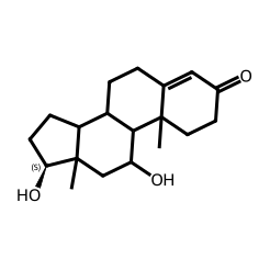 CC12CCC(=O)C=C1CCC1C2C(O)CC2(C)C1CC[C@@H]2O